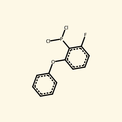 Fc1cccc(Oc2ccccc2)c1P(Cl)Cl